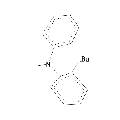 CN(c1ccccc1)c1ccccc1C(C)(C)C